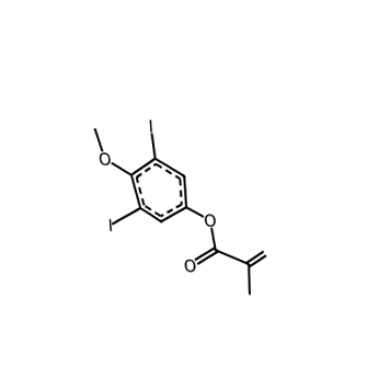 C=C(C)C(=O)Oc1cc(I)c(OC)c(I)c1